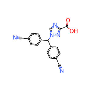 N#Cc1ccc(C(c2ccc(C#N)cc2)n2cnc(C(=O)O)n2)cc1